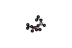 c1ccc(-c2nc(-c3cccc(-n4c5ccccc5c5ccccc54)c3)nc(-c3ccc(-c4ccc5c(c4)c4ccc(-n6c7ccccc7c7ccccc76)cc4n5-c4ccccc4)c(-n4c5ccccc5c5ccccc54)c3)n2)cc1